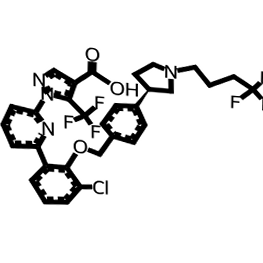 O=C(O)c1cnn(-c2cccc(-c3cccc(Cl)c3OCc3ccc([C@H]4CCN(CCCC(F)(F)F)C4)cc3)n2)c1C(F)(F)F